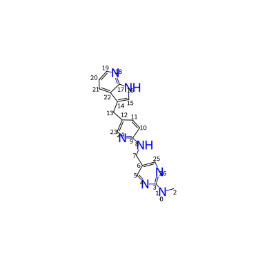 CN(C)c1ncc(CNc2ccc(Cc3c[nH]c4ncccc34)cn2)cn1